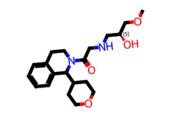 COC[C@@H](O)CNCC(=O)N1CCc2ccccc2C1C1CCOCC1